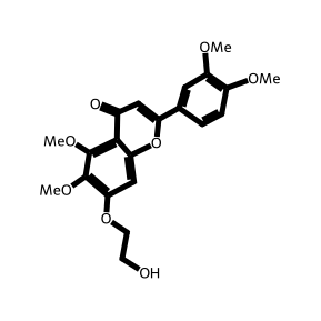 COc1ccc(-c2cc(=O)c3c(OC)c(OC)c(OCCO)cc3o2)cc1OC